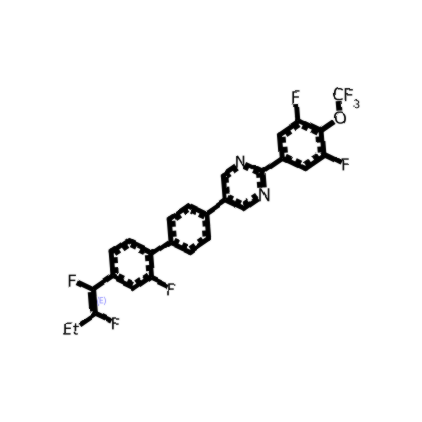 CC/C(F)=C(\F)c1ccc(-c2ccc(-c3cnc(-c4cc(F)c(OC(F)(F)F)c(F)c4)nc3)cc2)c(F)c1